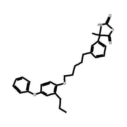 CCCc1cc(Oc2ccccc2)ccc1OCCCCCc1cccc(C2(C)NC(=O)SC2=O)c1